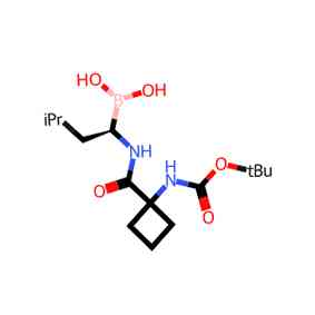 CC(C)C[C@H](NC(=O)C1(NC(=O)OC(C)(C)C)CCC1)B(O)O